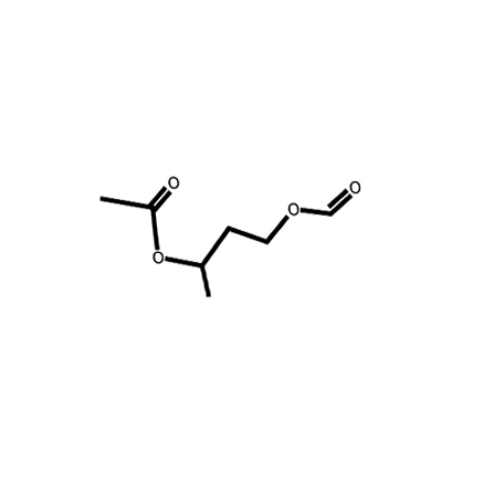 CC(=O)OC(C)CCOC=O